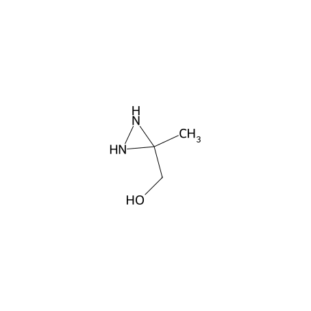 CC1(CO)NN1